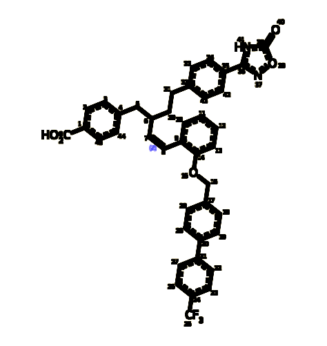 O=C(O)c1ccc(CC(/C=C\c2ccccc2OCc2ccc(-c3ccc(C(F)(F)F)cc3)cc2)CCc2ccc(-c3noc(=O)[nH]3)cc2)cc1